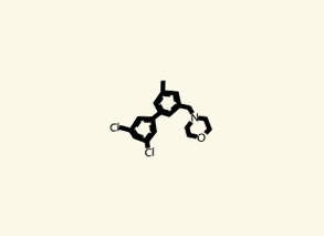 Cc1cc(CN2CCOCC2)cc(-c2cc(Cl)cc(Cl)c2)c1